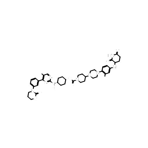 O=C1CCC(Nc2ccc(N3CCN(C4CCN(C(=O)O[C@H]5CC[C@H](Nc6ncc(F)c(-c7cccc(N8CCCOC8=O)c7)n6)CC5)CC4)CC3)c(F)c2)C(=O)N1